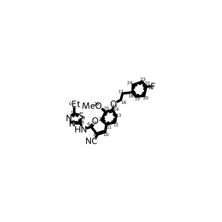 CCc1nnc(NC(=O)C(C#N)=Cc2ccc(OCCc3ccc(F)cc3)c(OC)c2)s1